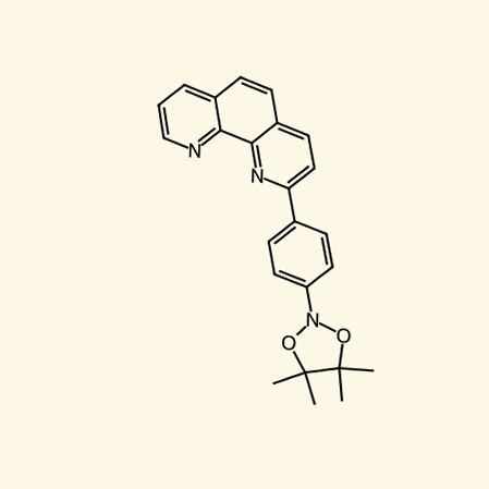 CC1(C)ON(c2ccc(-c3ccc4ccc5cccnc5c4n3)cc2)OC1(C)C